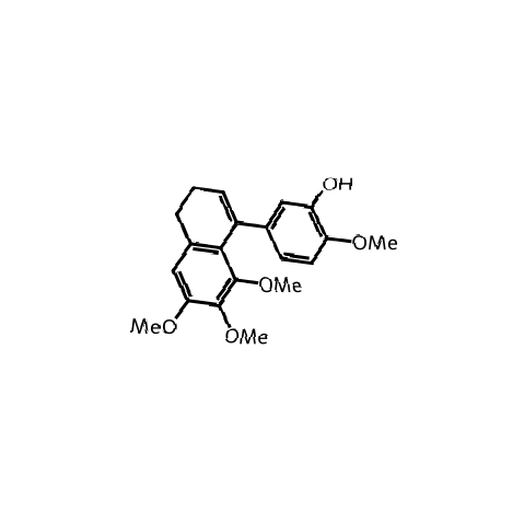 COc1ccc(C2=CCCc3cc(OC)c(OC)c(OC)c32)cc1O